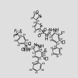 O=S(=O)(Nc1n[nH]c2c(F)c(Cl)c(-c3ccccc3)cc12)c1ccc(-c2ccon2)s1.O=S(=O)(Nc1n[nH]c2c(F)c(Cl)c(-c3ccccc3)cc12)c1ccc(C(F)(F)F)cc1